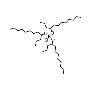 CCCCCCCCC(CCC)OP(=O)(OC(CCC)CCCCCCCC)OC(CCC)CCCCCCCC